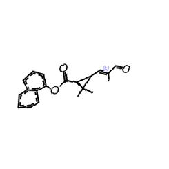 C/C(C=O)=C\C1C(C(=O)Oc2cccc3ccccc23)C1(C)C